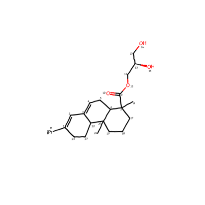 CC(C)C1=CC2=CCC3C(C)(C(=O)OC[C@H](O)CO)CCCC3(C)C2CC1